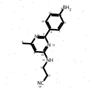 Bc1ccc(-c2nc(C)cc(NCCC#N)n2)cc1